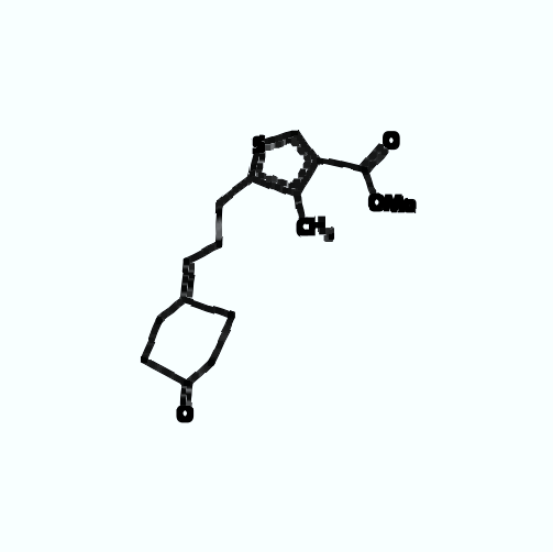 COC(=O)c1csc(CCC=C2CCC(=O)CC2)c1C